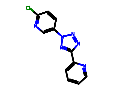 Clc1ccc(-n2nnc(-c3ccccn3)n2)cn1